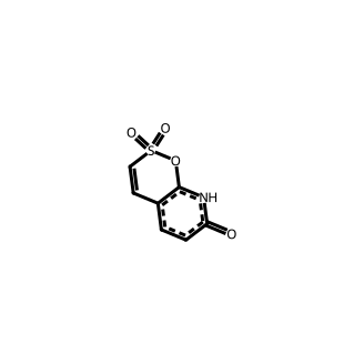 O=c1ccc2c([nH]1)OS(=O)(=O)C=C2